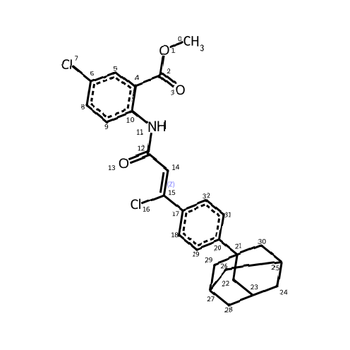 COC(=O)c1cc(Cl)ccc1NC(=O)/C=C(\Cl)c1ccc(C23CC4CC(CC(C4)C2)C3)cc1